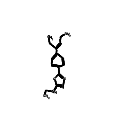 CCNc1nnc(-c2ccc(/C(=C/CN)CC)cc2)o1